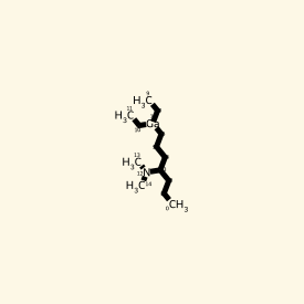 CCCC(CC[CH2][Ga]([CH2]C)[CH2]C)N(C)C